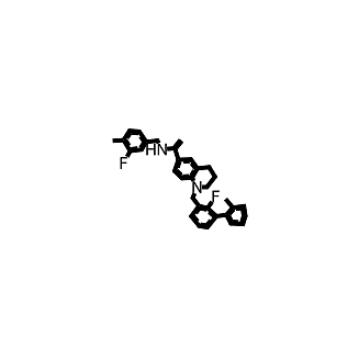 C=C(NCc1ccc(C)c(F)c1)c1ccc2c(c1)CCCN2Cc1cccc(-c2ccccc2C)c1F